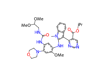 COc1cc(N2CCOCC2)c(NC(=O)NCC(OC)OC)cc1Nc1c(-c2ncncc2C(=O)OC(C)C)c2ccccc2n1C